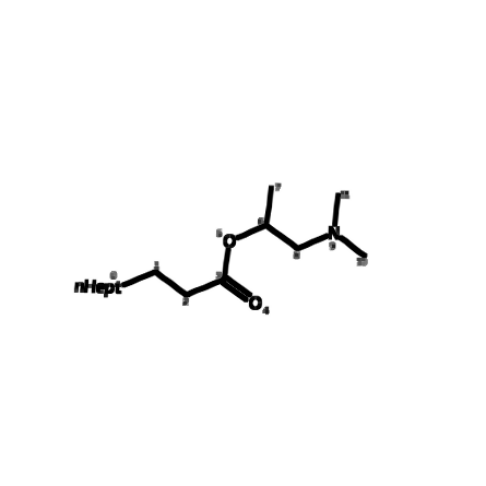 CCCCCCCCCC(=O)OC(C)CN(C)C